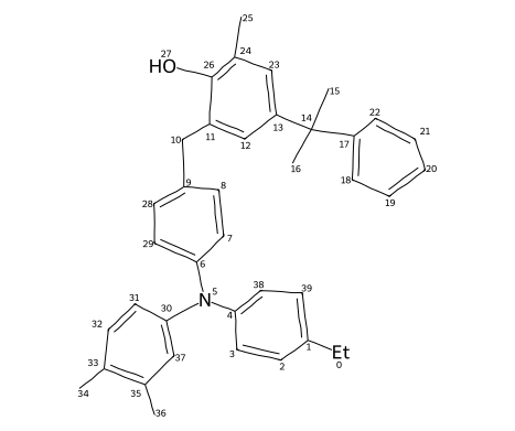 CCc1ccc(N(c2ccc(Cc3cc(C(C)(C)c4ccccc4)cc(C)c3O)cc2)c2ccc(C)c(C)c2)cc1